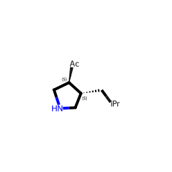 CC(=O)[C@@H]1CNC[C@H]1CC(C)C